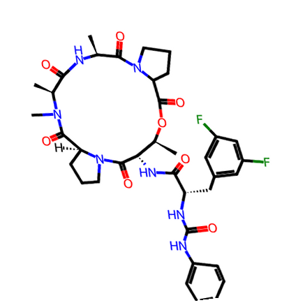 Cc1ccc(NC(=O)N[C@@H](Cc2cc(F)cc(F)c2)C(=O)N[C@@H]2C(=O)N3CCC[C@H]3C(=O)N(C)[C@@H](C)C(=O)N[C@@H](C)C(=O)N3CCCC3C(=O)O[C@H]2C)cc1